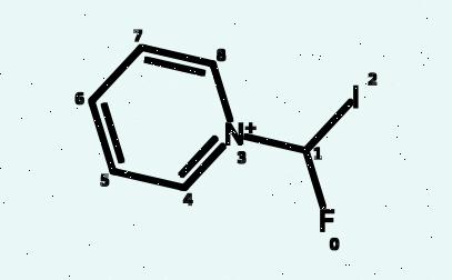 FC(I)[n+]1ccccc1